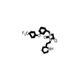 O=C1CN(Cc2cccc(Oc3ccc(C(F)(F)F)cc3)c2)C(=O)N1CCC1CCCCN1